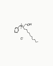 CCCCCCCCCCC(CO)[N+](C)(C)Cc1ccccc1.[Cl-]